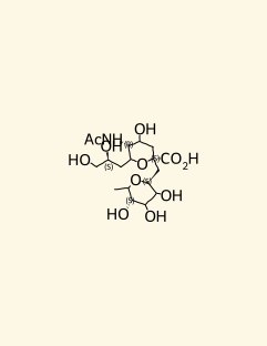 CC(=O)N[C@@H]1C(O)C[C@](C[C@@H]2OC(C)[C@@H](O)C(O)C2O)(C(=O)O)OC1C[C@H](O)CO